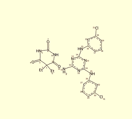 CCC1(CC)C(=O)NC(=O)NC1=O.Nc1nc(Nc2cccc(Cl)c2)nc(Nc2cccc(Cl)c2)n1